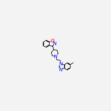 Cc1ccc2ncn(CCN3CCC(c4noc5ccccc45)CC3)c2c1